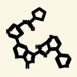 O=C(Nc1cncc(-c2cnc3[nH]nc(-c4nc5c(-c6ccncc6)ccnc5[nH]4)c3c2)c1)C1CCCC1